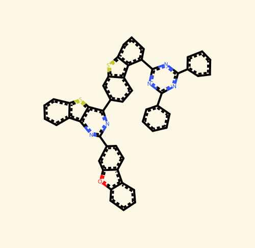 c1ccc(-c2nc(-c3ccccc3)nc(-c3cccc4sc5cc(-c6nc(-c7ccc8c(c7)oc7ccccc78)nc7c6sc6ccccc67)ccc5c34)n2)cc1